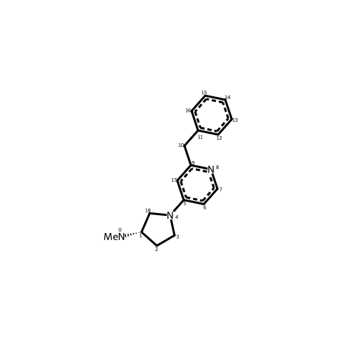 CN[C@H]1CCN(c2ccnc(Cc3ccccc3)c2)C1